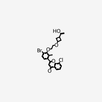 C=C(O)C1CC(OCCOc2c(Br)ccc(-c3cc(=O)c4cccc(Cl)c4o3)c2C)C1